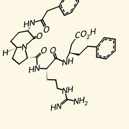 N=C(N)NCCC[C@H](NC(=O)[C@@H]1CC[C@H]2CC[C@H](NC(=O)Cc3ccccc3)C(=O)N21)C(=O)N[C@H](CCc1ccccc1)CC(=O)O